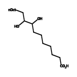 CCCCCCCCCC(O)C(O)CCCCCCC(=O)O